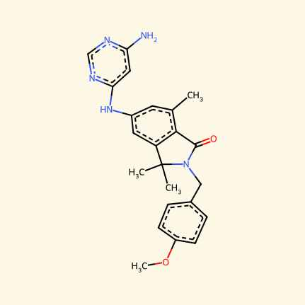 COc1ccc(CN2C(=O)c3c(C)cc(Nc4cc(N)ncn4)cc3C2(C)C)cc1